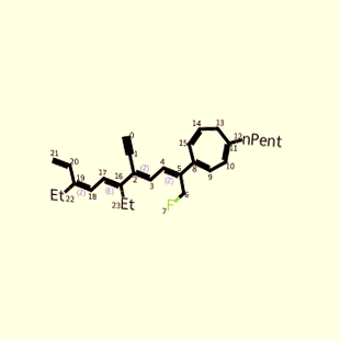 C#CC(=C\C=C(/CF)C1=CC=C(CCCCC)CC=C1)/C(=C/C=C(\C=C)CC)CC